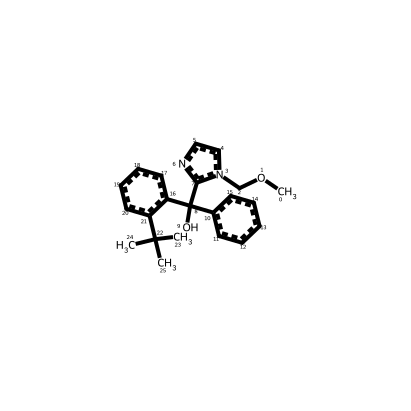 COCn1ccnc1C(O)(c1ccccc1)c1ccccc1C(C)(C)C